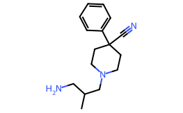 CC(CN)CN1CCC(C#N)(c2ccccc2)CC1